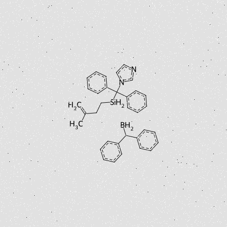 BC(c1ccccc1)c1ccccc1.C=C(C)CC[SiH2]C(c1ccccc1)(c1ccccc1)n1ccnc1